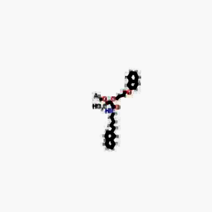 CC(=O)COC(C(=O)O)C(OCCCCOc1ccc2ccccc2c1)C(=O)NCCCCCc1ccc2ccccc2c1